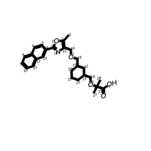 Cc1oc(-c2ccc3ccccc3c2)nc1COCC1CCCC(COC(C)(C)C(=O)O)C1